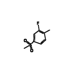 Cc1ccc(S(C)(=O)=O)cc1F